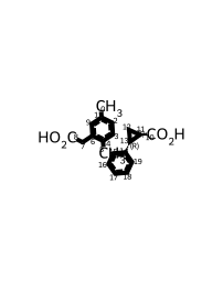 Cc1ccc(C)c(CC(=O)O)c1.O=C(O)[C@@H]1C[C@H]1c1ccccc1